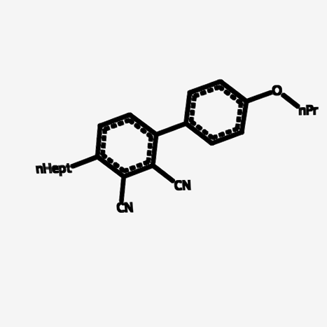 CCCCCCCc1ccc(-c2ccc(OCCC)cc2)c(C#N)c1C#N